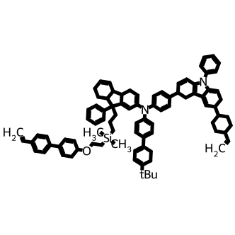 C=Cc1ccc(C2=CCC(OCC[Si](C)(C)CCCC3(c4ccccc4)C4=CC(N(c5ccc(C6=CC=C(C(C)(C)C)CC6)cc5)c5ccc(C6C=Cc7c(c8c(n7-c7ccccc7)=CCC(C7CCC(C=C)CC7)C=8)C6)cc5)=CCC4C4C=CCCC43)C=C2)cc1